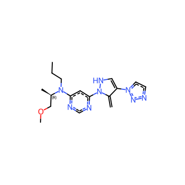 C=C1C(n2ccnn2)=CNN1c1cc(N(CCC)[C@H](C)COC)ncn1